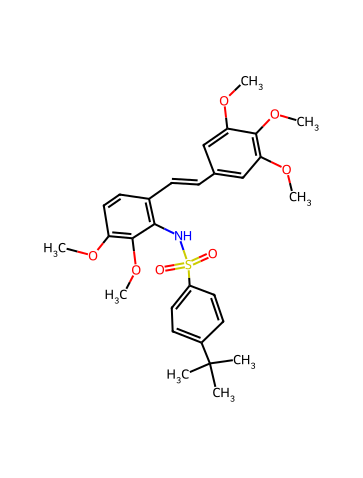 COc1cc(C=Cc2ccc(OC)c(OC)c2NS(=O)(=O)c2ccc(C(C)(C)C)cc2)cc(OC)c1OC